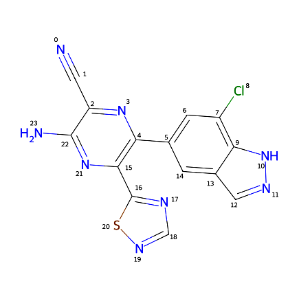 N#Cc1nc(-c2cc(Cl)c3[nH]ncc3c2)c(-c2ncns2)nc1N